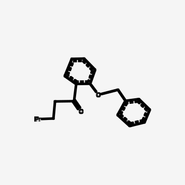 CC(C)CCC(=O)c1ccccc1OCc1ccccc1